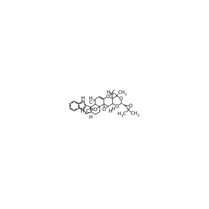 CC1(C)OC1[C@H]1O[C@H]2[C@H]3O[C@@]34C(=CC[C@@]3(C)C4(O)CC[C@H]4Cc5c([nH]c6ccccc56)[C@@]43C)O[C@@H]2C(C)(C)O1